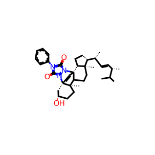 CC(C)[C@@H](C)/C=C/[C@@H](C)[C@H]1CCC2[C@@]34C=C[C@]5(C[C@@H](O)CC[C@]5(C)C3CC[C@@]21C)n1c(=O)n(-c2ccccc2)c(=O)n14